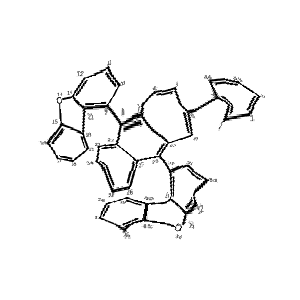 c1ccc(-c2ccc3c(-c4cccc5oc6ccccc6c45)c4ccccc4c(-c4cccc5oc6ccccc6c45)c3c2)cc1